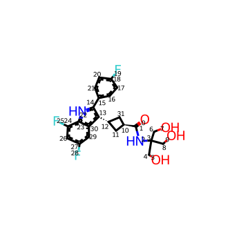 O=C(NC(CO)(CO)CO)[C@H]1C[C@H](c2c(-c3ccc(F)cc3)[nH]c3c(F)cc(F)cc32)C1